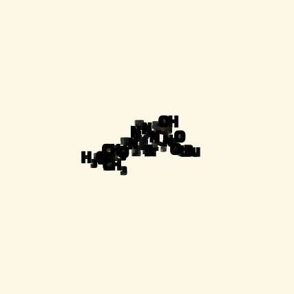 CC(C)(C)OC(=O)N1CCN(c2ncnc3c2c(Br)cn3COCC[Si](C)(C)C)[C@H](CO)C1